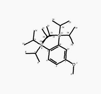 COc1[c]cc([Si](C(C)C)(C(C)C)C(C)C)c([Si](C(C)C)(C(C)C)C(C)C)c1